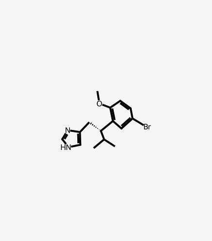 COc1ccc(Br)cc1[C@@H](Cc1c[nH]cn1)C(C)C